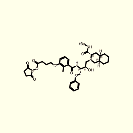 Cc1c(OCCCC(=O)ON2C(=O)CCC2=O)cccc1C(=O)N[C@@H](CSc1ccccc1)[C@H](O)CN1C[C@H]2CCCC[C@H]2C[C@H]1C(=O)NC(C)(C)C